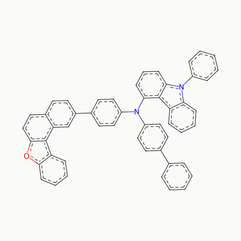 c1ccc(-c2ccc(N(c3ccc(-c4ccc5ccc6oc7ccccc7c6c5c4)cc3)c3cccc4c3c3ccccc3n4-c3ccccc3)cc2)cc1